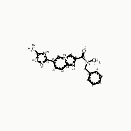 CN(Cc1ccccc1)C(=O)c1cn2cc(-c3noc(C(F)(F)F)n3)ccc2n1